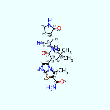 Cc1c(C(N)=O)sc2ncc([C@H](CC(C)(C)C)C(=O)N[C@H](C#N)C[C@@H]3CCNC3=O)n12